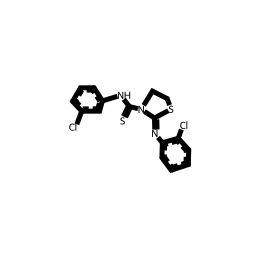 S=C(Nc1cccc(Cl)c1)N1CCSC1=Nc1ccccc1Cl